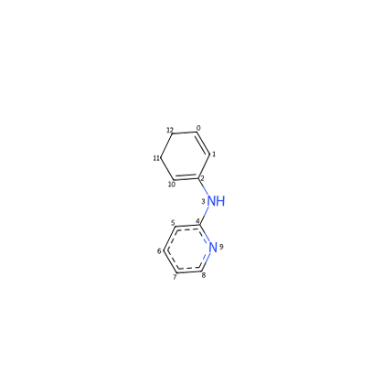 C1=CC(Nc2ccccn2)=CCC1